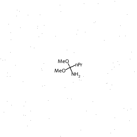 CCCC(N)(OC)OC